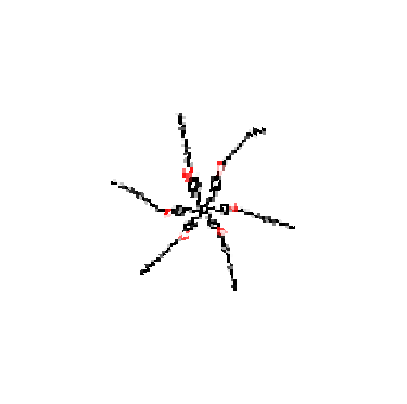 CCCCCCCCCCCCCCOc1ccc(CCc2c(CCc3ccc(OCCCCCCCCCCCCCC)cc3)c(CCc3ccc(OCCCCCCCCCCCCCC)cc3)c(CCc3ccc(OCCCCCCCCCCCCCC)cc3)c(CCc3ccc(OCCCCCCCCCCCCCC)cc3)c2CCc2ccc(OCCCCCCCCCCCCCC)cc2)cc1